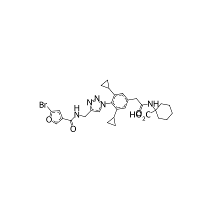 O=C(Cc1cc(C2CC2)c(-n2cc(CNC(=O)c3coc(Br)c3)nn2)c(C2CC2)c1)NC1(C(=O)O)CCCCC1